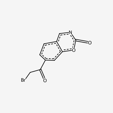 O=C(CBr)c1ccc2cnc(=O)oc2c1